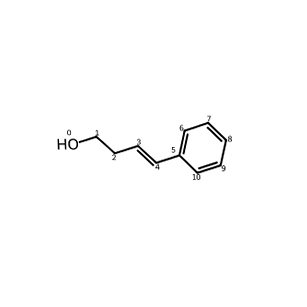 OCCC=Cc1ccccc1